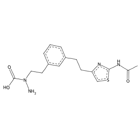 CC(=O)Nc1nc(CCc2cccc(CCN(N)C(=O)O)c2)cs1